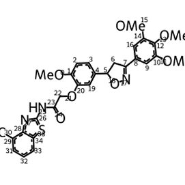 COc1ccc(C2CC(c3cc(OC)c(OC)c(OC)c3)=NO2)cc1OCC(=O)Nc1nc2c(C)cccc2s1